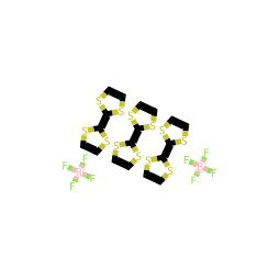 C1=CSC(=C2SC=CS2)S1.C1=CSC(=C2SC=CS2)S1.C1=CSC(=C2SC=CS2)S1.F[B-](F)(F)F.F[B-](F)(F)F